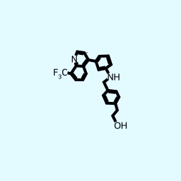 OCCc1ccc(CNc2cccc(-c3[c]cnc4c(C(F)(F)F)cccc34)c2)cc1